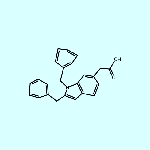 O=C(O)Cc1ccc2cc(Cc3ccccc3)n(Cc3ccccc3)c2c1